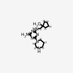 CC1(CNc2nc(N)nc(N3CCCNCC3)n2)CCCC1